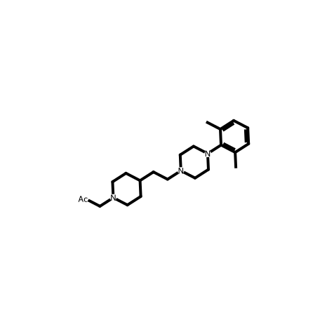 CC(=O)CN1CCC(CCN2CCN(c3c(C)cccc3C)CC2)CC1